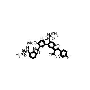 CNC(=O)c1c(-c2ccc(F)cc2)oc2cc(N(C)S(C)(=O)=O)c(-c3ccc(OC)c(-c4nc5c(NS(C)(=O)=O)cccc5o4)c3)cc12